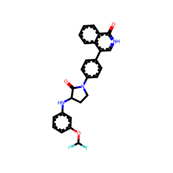 O=C1C(Nc2cccc(OC(F)F)c2)CCN1c1ccc(-c2c[nH]c(=O)c3ccccc23)cc1